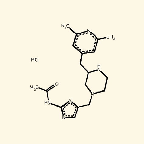 CC(=O)Nc1ncc(CN2CCNC(Cc3cc(C)nc(C)c3)C2)s1.Cl